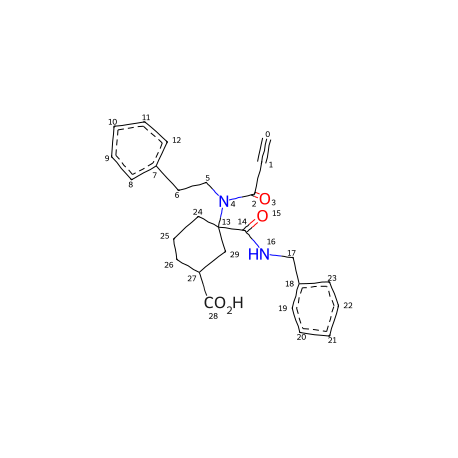 C#CC(=O)N(CCc1ccccc1)C1(C(=O)NCc2ccccc2)CCCC(C(=O)O)C1